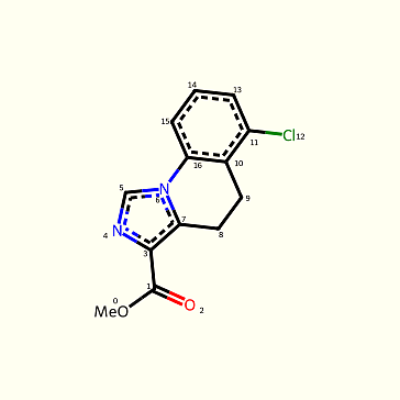 COC(=O)c1ncn2c1CCc1c(Cl)cccc1-2